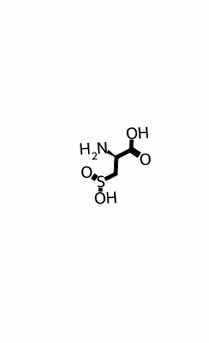 N[C@H](CS(=O)O)C(=O)O